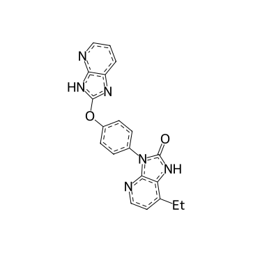 CCc1ccnc2c1[nH]c(=O)n2-c1ccc(Oc2nc3cccnc3[nH]2)cc1